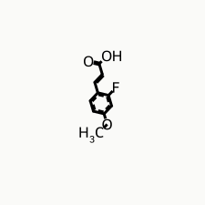 COc1ccc(/C=C/C(=O)O)c(F)c1